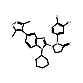 Cc1noc(C)c1-c1ccc2c(c1)nc([C@@H]1CCC(=O)N1c1ccc(Cl)c(Cl)c1)n2C1CCCCC1